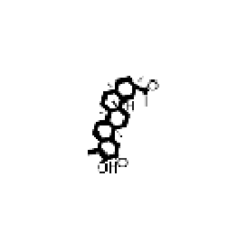 CC1=C(O)C(=O)C=C2C1=CC=C1[C@@]2(C)CC[C@@]2(C)[C@@H]3C[C@](C)(C(=O)I)CC[C@]3(C)CC[C@]12C